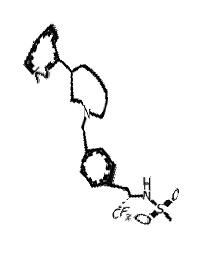 CS(=O)(=O)N[C@@H](c1ccc(CN2CCCC(c3ccccn3)C2)cc1)C(F)(F)F